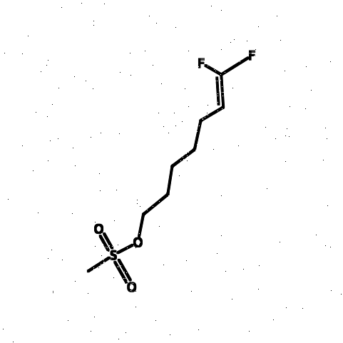 CS(=O)(=O)OCCCCCC=C(F)F